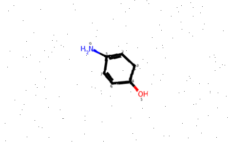 NC1=CCC(O)C=C1